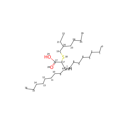 CCCCCCC[CH2][SnH]([CH2]CCCCCCC)[CH](SCC(CC)CCCC)C(=O)O